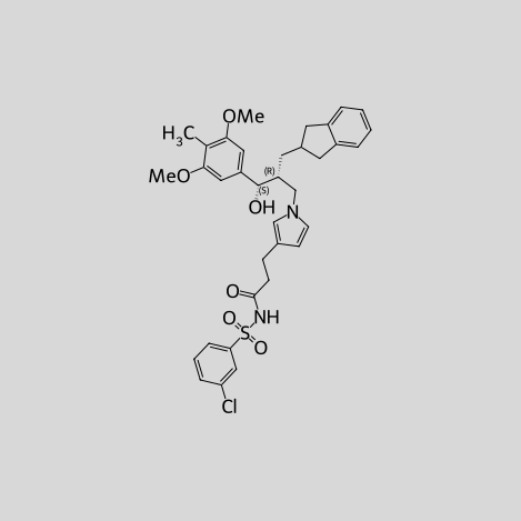 COc1cc([C@@H](O)[C@H](CC2Cc3ccccc3C2)Cn2ccc(CCC(=O)NS(=O)(=O)c3cccc(Cl)c3)c2)cc(OC)c1C